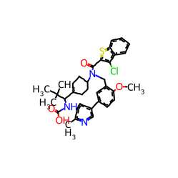 COc1ccc(-c2ccc(C)nc2)cc1CN(C(=O)c1sc2ccccc2c1Cl)C1CCC(C(NC(=O)O)C(C)(C)C)CC1